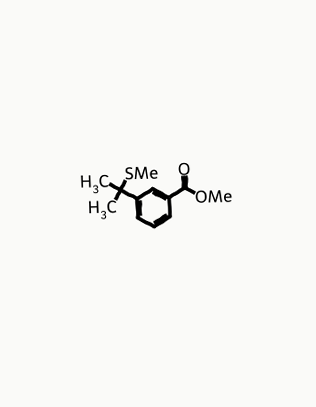 COC(=O)c1cccc(C(C)(C)SC)c1